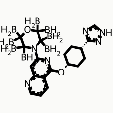 BC1(B)OC(B)(B)C(B)(B)N(c2cc3ncccc3c(O[C@H]3CC[C@@H](c4nc[nH]n4)CC3)n2)C1(B)B